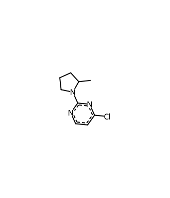 CC1CCCN1c1nccc(Cl)n1